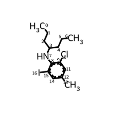 CCCC(CCC)Nc1c(Cl)cc(C)cc1I